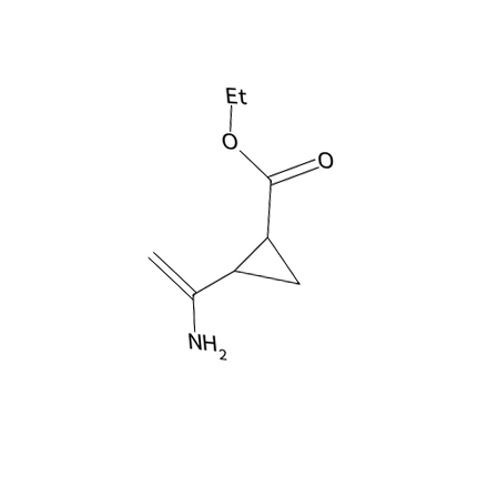 C=C(N)C1CC1C(=O)OCC